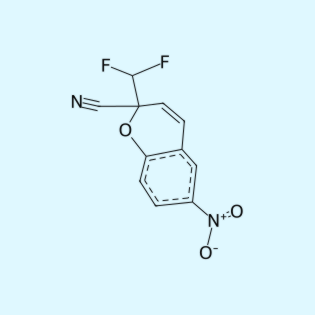 N#CC1(C(F)F)C=Cc2cc([N+](=O)[O-])ccc2O1